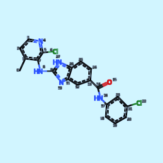 Cc1ccnc(Cl)c1Nc1nc2cc(C(=O)Nc3cccc(Cl)c3)ccc2[nH]1